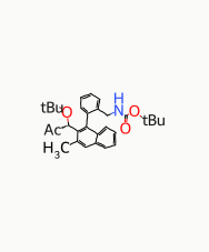 CC(=O)[C@@H](OC(C)(C)C)c1c(C)cc2ccccc2c1-c1ccccc1CNC(=O)OC(C)(C)C